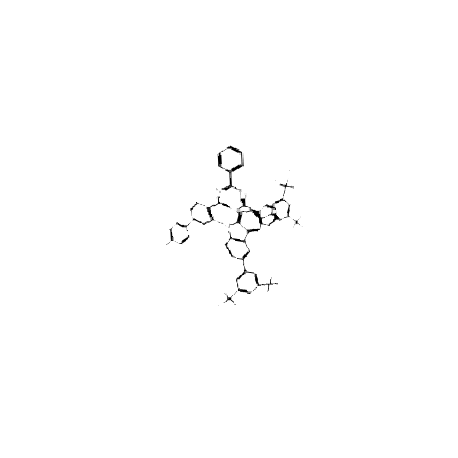 Fc1ccc(-c2ccc(-c3nc(-c4ccccc4)nc(-c4ccccc4)n3)c(-n3c4ccc(-c5cc(C(F)(F)F)cc(C(F)(F)F)c5)cc4c4cc(-c5cc(C(F)(F)F)cc(C(F)(F)F)c5)ccc43)c2)cc1